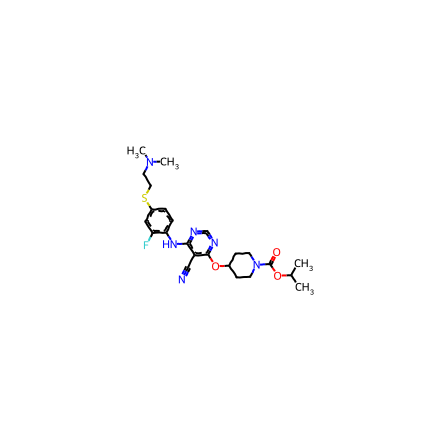 CC(C)OC(=O)N1CCC(Oc2ncnc(Nc3ccc(SCCN(C)C)cc3F)c2C#N)CC1